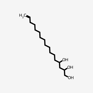 C=CCCCCCCCCCCCC(O)CC(O)CO